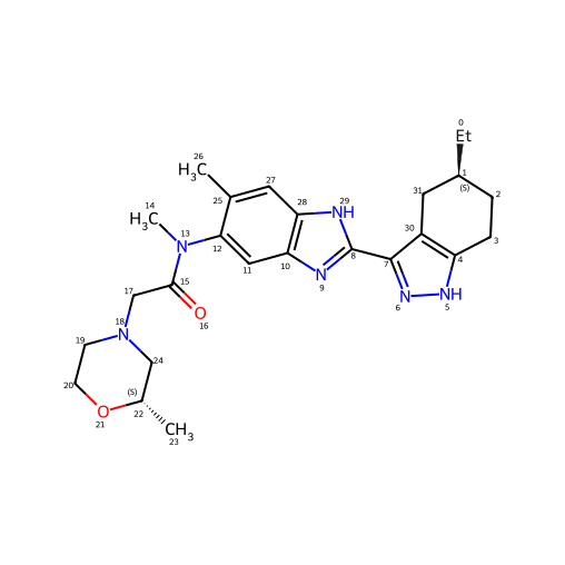 CC[C@H]1CCc2[nH]nc(-c3nc4cc(N(C)C(=O)CN5CCO[C@@H](C)C5)c(C)cc4[nH]3)c2C1